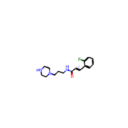 O=C(/C=C/c1ccccc1F)NCCCN1CCNCC1